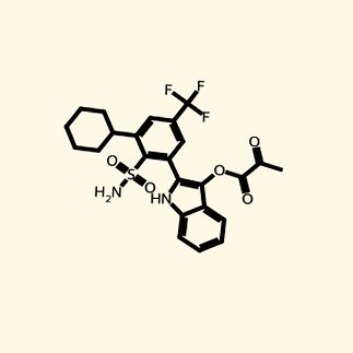 CC(=O)C(=O)Oc1c(-c2cc(C(F)(F)F)cc(C3CCCCC3)c2S(N)(=O)=O)[nH]c2ccccc12